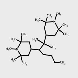 CCCCC(C1CC(C)(C)N(C)C(C)(C)C1)C(N)(N)C1CC(C)(C)N(C)C(C)(C)C1